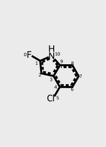 Fc1cc2c(Cl)cccc2[nH]1